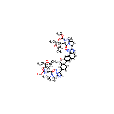 COC(=O)N[C@H](C(=O)N1[C@@H](C)CC[C@H]1c1nc2ccc3cc4c(cc3c2[nH]1)OCc1cc(-c2cnc([C@@H]3CC[C@H](C)N3C(=O)[C@@H](NC(=O)O)C3C[C@@H](C)O[C@H](C)C3)[nH]2)ccc1-4)C1C[C@@H](C)O[C@H](C)C1